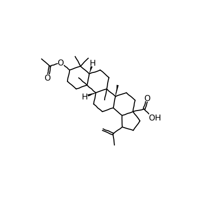 C=C(C)C1CCC2(C(=O)O)CC[C@]3(C)C(CC[C@@H]4C5(C)CCC(OC(C)=O)C(C)(C)[C@@H]5CCC43C)C12